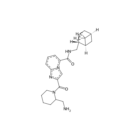 CC1(C)[C@H]2CC[C@@H](CNC(=O)c3cccc4nc(C(=O)N5CCCCC5CN)cn34)[C@@H]1C2